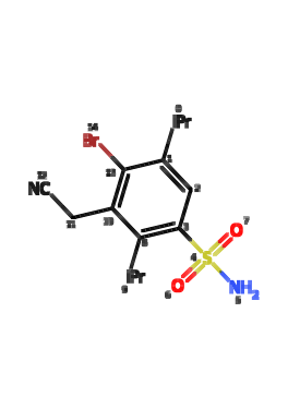 CC(C)c1cc(S(N)(=O)=O)c(C(C)C)c(CC#N)c1Br